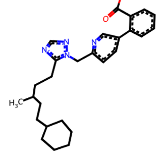 CC(CCc1ncnn1Cc1ccc(-c2ccccc2C(=O)O)cn1)CCC1CCCCC1